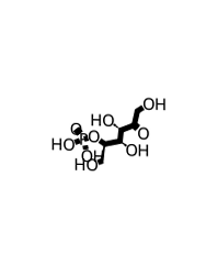 O=C(CO)[C@@H](O)[C@H](O)[C@@H](CO)OP(=O)(O)O